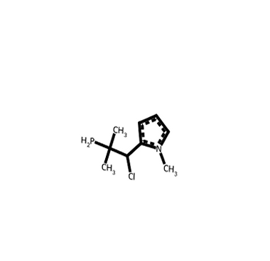 Cn1cccc1C(Cl)C(C)(C)P